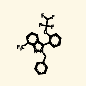 FC(F)C(F)(F)Oc1ccccc1-c1c2cccc(C(F)(F)F)c2nn1Cc1ccccc1